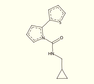 O=C(NCC1CC1)n1cccc1-c1cccs1